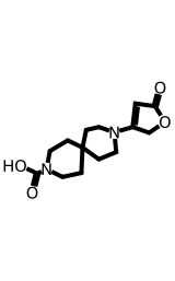 O=C1C=C(N2CCC3(CCN(C(=O)O)CC3)CC2)CO1